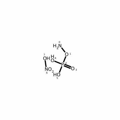 NOP(=O)(O)O.O=[N+]([O-])O